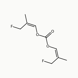 CC(=COC(=O)OC=C(C)CF)CF